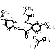 CCC(=O)Oc1cc(OC)cc(OC(C)C)c1C(=O)/C=C/c1ccc(OC)cc1